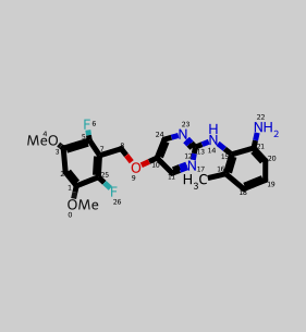 COc1cc(OC)c(F)c(COc2cnc(Nc3c(C)cccc3N)nc2)c1F